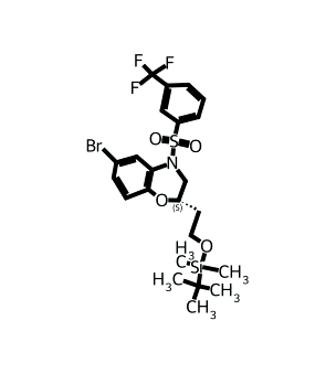 CC(C)(C)[Si](C)(C)OCC[C@H]1CN(S(=O)(=O)c2cccc(C(F)(F)F)c2)c2cc(Br)ccc2O1